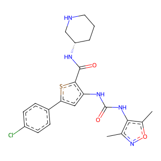 Cc1noc(C)c1NC(=O)Nc1cc(-c2ccc(Cl)cc2)sc1C(=O)N[C@H]1CCCNC1